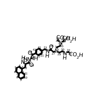 N[C@H](Cc1cccc2ccccc12)C(=O)NNC(=O)c1ccc(CNC(=O)CN(CCNCC(=O)O)CCN(CC(=O)O)CC(=O)O)cc1